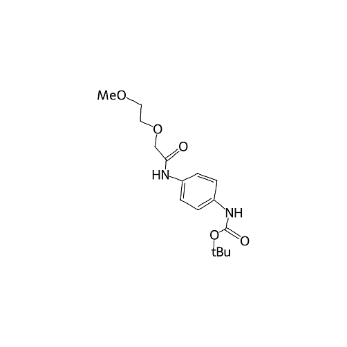 COCCOCC(=O)Nc1ccc(NC(=O)OC(C)(C)C)cc1